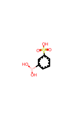 O=S(=O)(O)c1cccc(B(O)O)c1